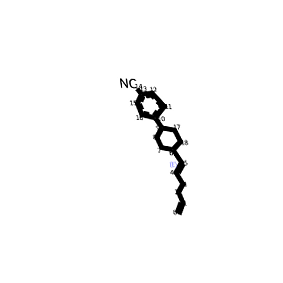 C=CCC/C=C/C1CCC(c2ccc(C#N)cc2)CC1